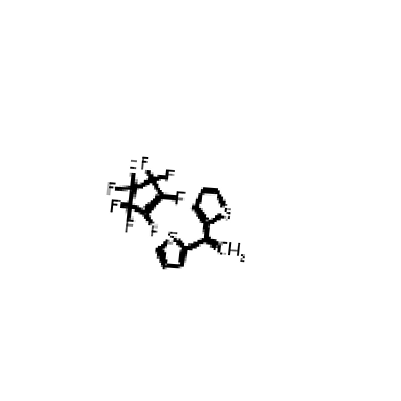 C=C(c1cccs1)c1cccs1.FC1=C(F)C(F)(F)C(F)(F)C1(F)F